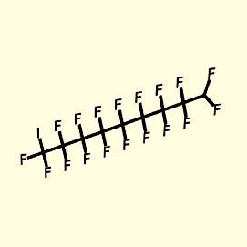 FC(F)C(F)(F)C(F)(F)C(F)(F)C(F)(F)C(F)(F)C(F)(F)C(F)(F)C(F)(F)I